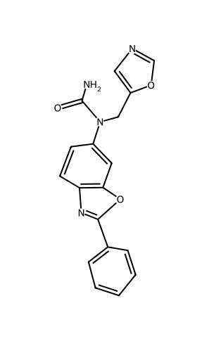 NC(=O)N(Cc1cnco1)c1ccc2nc(-c3ccccc3)oc2c1